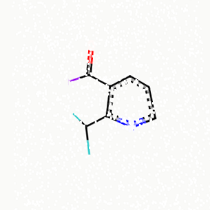 O=C(I)c1cccnc1C(F)F